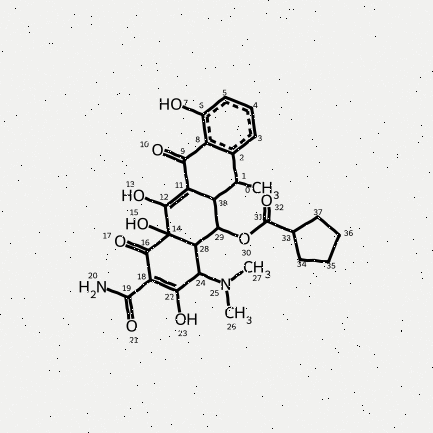 CC1c2cccc(O)c2C(=O)C2=C(O)C3(O)C(=O)C(C(N)=O)=C(O)C(N(C)C)C3C(OC(=O)C3CCCC3)C21